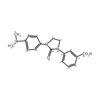 CN(C)c1ccc(N2CCN(c3cccc(C(=O)O)c3)C2=O)cc1